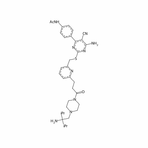 CC(=O)Nc1ccc(-c2nc(SCc3cccc(CCC(=O)N4CCN(CC(N)(C(C)C)C(C)C)CC4)n3)nc(N)c2C#N)cc1